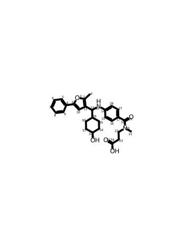 Cc1oc(-c2ccccc2)cc1C(Nc1ccc(C(=O)N(C)CCC(=O)O)cc1)C1CCC(O)CC1